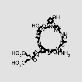 Cc1sc2nc1C(=O)NCc1nc(cs1)C(=O)N[C@@H](Cc1ccc(O)cc1)C(=O)N1C[C@H](O)[C@H](C)[C@H]1c1nc(cs1)-c1nc(cs1)-c1nc(-c3nc(C(=O)N(CCCC(=O)O)CCCC(=O)O)cs3)ccc1-c1nc(cs1)C(=O)N[C@H]2CC(N)=O